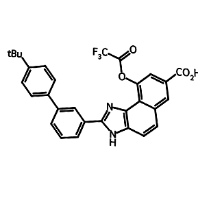 CC(C)(C)c1ccc(-c2cccc(-c3nc4c(ccc5cc(C(=O)O)cc(OC(=O)C(F)(F)F)c54)[nH]3)c2)cc1